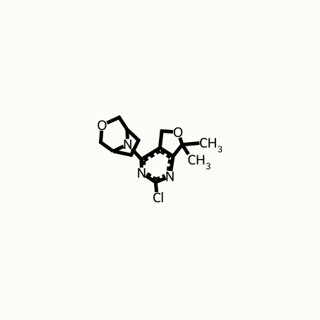 CC1(C)OCc2c(N3C4CCC3COC4)nc(Cl)nc21